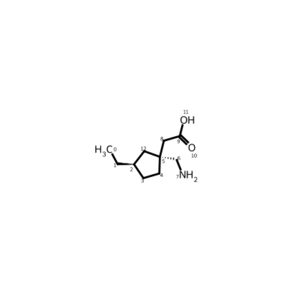 CC[C@@H]1CC[C@](CN)(CC(=O)O)C1